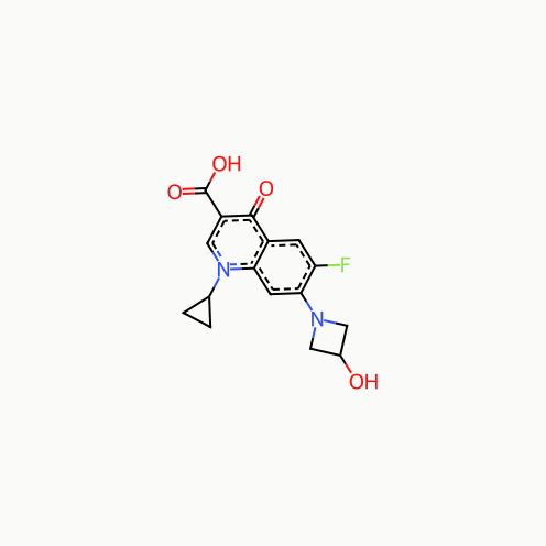 O=C(O)c1cn(C2CC2)c2cc(N3CC(O)C3)c(F)cc2c1=O